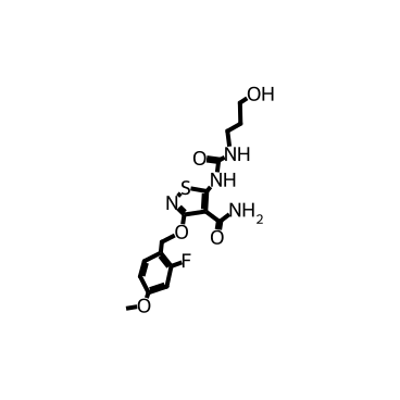 COc1ccc(COc2nsc(NC(=O)NCCCO)c2C(N)=O)c(F)c1